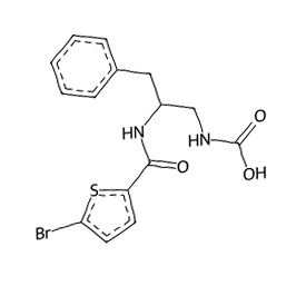 O=C(O)NCC(Cc1ccccc1)NC(=O)c1ccc(Br)s1